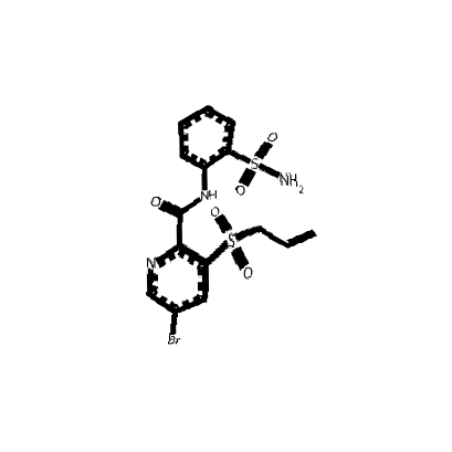 C=CCS(=O)(=O)c1cc(Br)cnc1C(=O)Nc1ccccc1S(N)(=O)=O